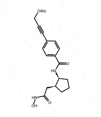 COCC#Cc1ccc(C(=O)N[C@H]2CCC[C@H]2CC(=O)NO)cc1